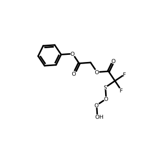 O=C(COC(=O)C(F)(F)SOOO)Oc1ccccc1